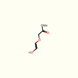 COC(=O)COC=CO